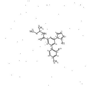 CCc1nnnn1-c1cc(C(=O)NC(C)CO)cc(-c2ccc(C)cc2F)c1